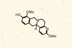 COc1ccc2c(n1)CCN1Cc3c(ccc(O)c3OC)C[C@@H]21